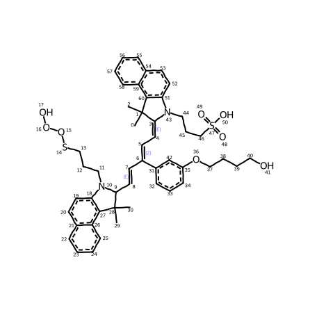 CC1(C)\C(=C/C=C(/C=C/C2N(CCCSOOO)c3ccc4ccccc4c3C2(C)C)c2cccc(OCCCCO)c2)N(CCCS(=O)(=O)O)c2ccc3ccccc3c21